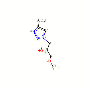 CCCCOC[C@H](O)Cn1cc(C(=O)O)nn1